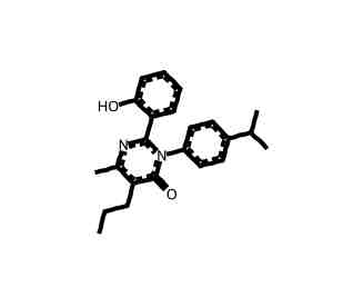 CCCc1c(C)nc(-c2ccccc2O)n(-c2ccc(C(C)C)cc2)c1=O